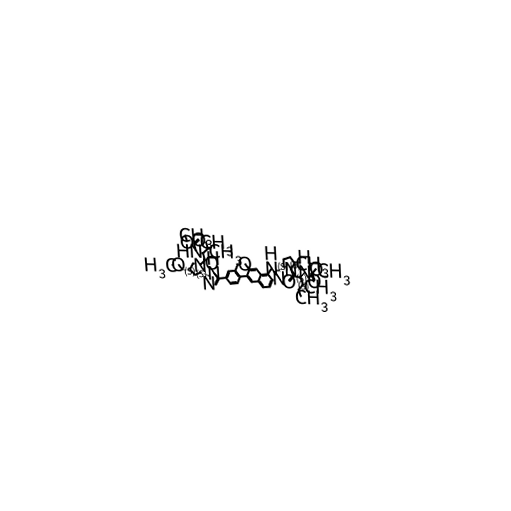 CC[C@H](C)[C@H](NC(=O)OC)C(=O)N1[C@@H](C)CC[C@H]1c1nc2ccc3cc4c(cc3c2[nH]1)OCc1cc(-c2cnc([C@@H]3C[C@H](COC)CN3C(=O)C(NC(=O)OC)C(C)C)[nH]2)ccc1-4